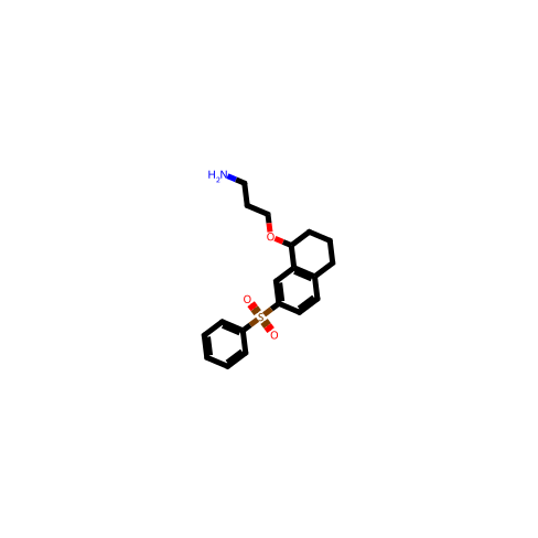 NCCCOC1CCCc2ccc(S(=O)(=O)c3ccccc3)cc21